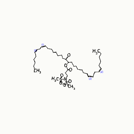 CCCCC/C=C\C/C=C\CCCCCCCC(=O)C(CCCCCCC/C=C\C/C=C\CCCCC)OC(=O)CCN(S(C)(=O)=O)S(C)(=O)=O